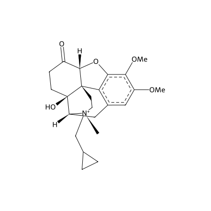 COc1cc2c3c(c1OC)O[C@H]1C(=O)CC[C@@]4(O)[C@@H](C2)[N@@+](C)(CC2CC2)CC[C@]314